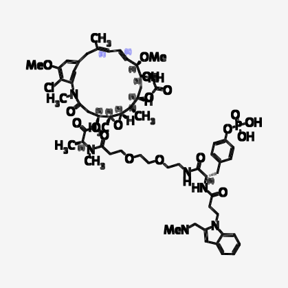 CNCc1cc2ccccc2n1CCC(=O)N[C@@H](Cc1ccc(OP(=O)(O)O)cc1)C(=O)NCCOCCOCCC(=O)N(C)[C@@H](C)C(=O)O[C@H]1CC(=O)N(C)c2cc(cc(OC)c2Cl)C/C(C)=C/C=C/[C@@H](OC)[C@@]2(O)C[C@H](OC(=O)N2)[C@@H](C)[C@@H]2O[C@]12C